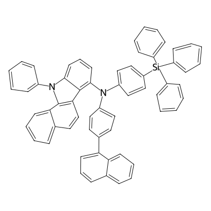 c1ccc(-n2c3cccc(N(c4ccc(-c5cccc6ccccc56)cc4)c4ccc([Si](c5ccccc5)(c5ccccc5)c5ccccc5)cc4)c3c3ccc4ccccc4c32)cc1